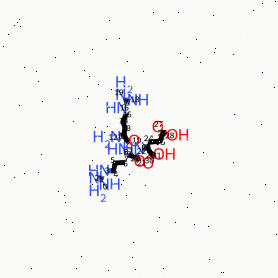 N=C(N)NCCC[C@H](NC(=O)[C@@H](N)CCCNC(=N)N)C(=O)N[C@@H](CCC(=O)O)C(=O)O